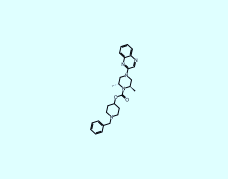 C[C@@H]1CN(c2cnc3ccccc3n2)C[C@@H](C)N1C(=O)OC1CCN(Cc2ccccc2)CC1